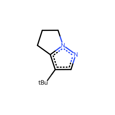 CC(C)(C)c1cnn2c1CCC2